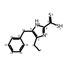 CCc1nc(C(=S)S)[nH]c1Cc1ccccc1